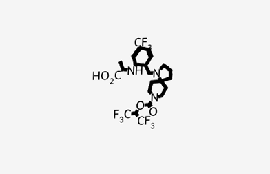 C[C@H](NC1C=C(C(F)(F)F)C=CC1CN1CCCC12CCN(C(=O)OC(C(F)(F)F)C(F)(F)F)CC2)C(=O)O